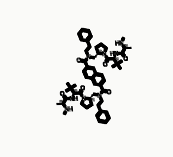 CN[C@@H](C)C(=O)N[C@H](C(=O)N1CCC[C@H]1CN(CCc1ccccc1)C(=O)c1ccc2cc(C(=O)N(CCc3ccccc3)C[C@@H]3CCCN3C(=O)[C@@H](NC(=O)[C@H](C)NC)C(C)(C)C)ccc2c1)C(C)(C)C